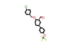 O=Cc1cc(-c2ccc(OC(F)(F)F)cc2)ccc1OCc1ccc(Cl)cc1